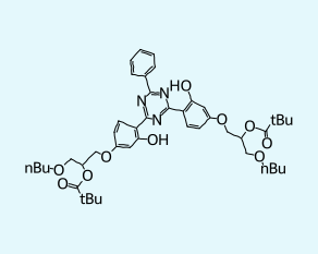 CCCCOCC(COc1ccc(-c2nc(-c3ccccc3)nc(-c3ccc(OCC(COCCCC)OC(=O)C(C)(C)C)cc3O)n2)c(O)c1)OC(=O)C(C)(C)C